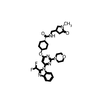 CN1CC(CNC(=O)[C@H]2CC[C@H](Oc3cc(-n4c(C(F)F)nc5ccccc54)nc(N4CCOCC4)n3)CC2)CC1=O